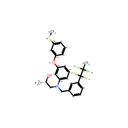 O[C@H](CN(Cc1cccc(C(F)(F)C(F)(F)C(F)(F)F)c1)c1cccc(Oc2cccc(SC(F)(F)F)c2)c1)C(F)(F)F